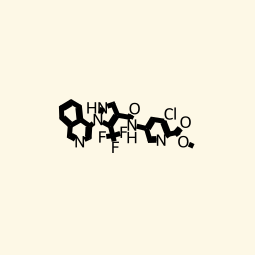 COC(=O)c1ncc(NC(=O)C2=C(C(F)(F)F)N(c3cncc4ccccc34)NC2)cc1Cl